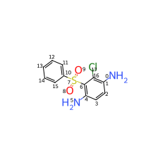 Nc1ccc(N)c(S(=O)(=O)c2ccccc2)c1Cl